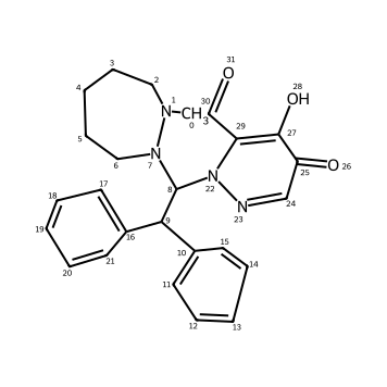 CN1CCCCCN1C(C(c1ccccc1)c1ccccc1)n1ncc(=O)c(O)c1C=O